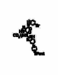 CC(=O)O.CCCCCN1CCN(c2ccc3[nH]c(NC(=O)c4[nH]cnc4C(=O)Nc4cc(Br)ccc4C)nc3c2)CC1